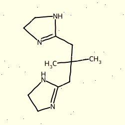 CC(C)(CC1=NCCN1)CC1=NCCN1